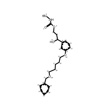 CC(C)(C)NC(=O)OCCC(O)c1cccc(OCCCCCOCc2ccccc2)c1